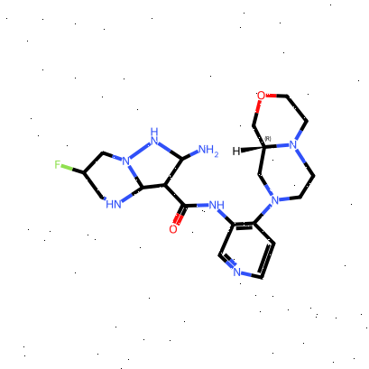 NC1NN2CC(F)CNC2C1C(=O)Nc1cnccc1N1CCN2CCOC[C@H]2C1